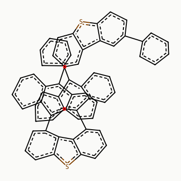 c1ccc(-c2ccc3sc4ccc(-c5c6ccccc6c(-c6cccc7sc8cccc(-c9c%10ccccc%10c(-c%10ccccc%10)c%10ccccc9%10)c8c67)c6ccccc56)cc4c3c2)cc1